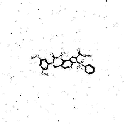 CNC(=O)c1cc2c3c(cnc2n1S(=O)(=O)c1ccccc1)CN(c1cc(OC)cc(OC)c1)C(=O)N3C